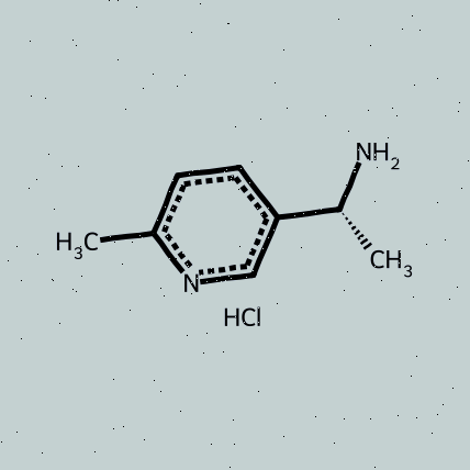 Cc1ccc([C@@H](C)N)cn1.Cl